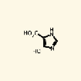 Cl.O=C(O)c1cnc[nH]1